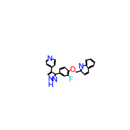 Fc1cc(-c2n[nH]cc2-c2ccncc2)ccc1OCc1ccc2ccccc2n1